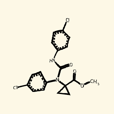 COC(=O)C1(N(C(=O)Nc2ccc(Cl)cc2)c2ccc(Cl)cc2)CC1